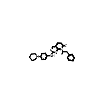 CC(Cc1ccccc1)n1c(=O)ccc2cnc(Nc3ccc(N4CCCCC4)cc3)nc21